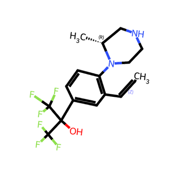 C/C=C\c1cc(C(O)(C(F)(F)F)C(F)(F)F)ccc1N1CCNC[C@H]1C